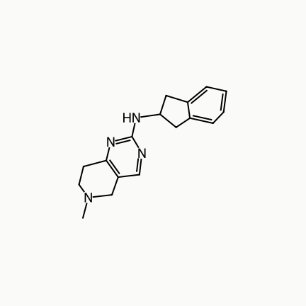 CN1CCc2nc(NC3Cc4ccccc4C3)ncc2C1